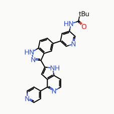 CC(C)(C)C(=O)Nc1cncc(-c2ccc3[nH]nc(-c4cc5c(-c6ccncc6)nccc5[nH]4)c3c2)c1